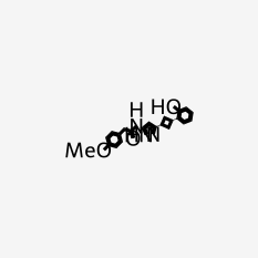 COc1ccc(CC(=O)Nc2cc([C@H]3C[C@@H](c4ccccc4O)C3)n[nH]2)cc1